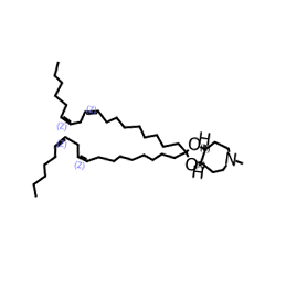 CCCCC/C=C\C/C=C\CCCCCCCCC1(CCCCCCCC/C=C\C/C=C\CCCCC)O[C@@H]2CCN(C)CC[C@H]2O1